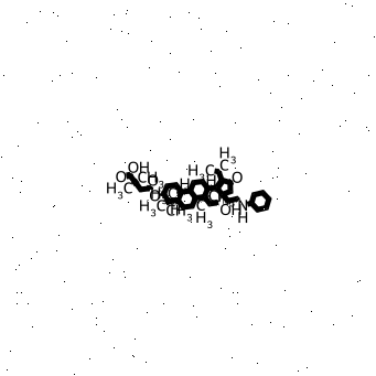 CC(C)C1=C2[C@H]3CC[C@@H]4[C@@]5(C)CC[C@H](OC(=O)CC(C)(C)C(=O)O)C(C)(C)[C@@H]5CC[C@@]4(C)[C@]3(C)CC[C@@]2([C@@H](O)CNC2CCCCC2)CC1=O